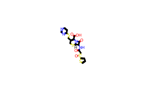 O=C(C[S+]([O-])c1cccs1)NC1C(=O)N2C(C(=O)O)=C(CSc3ccncn3)CS[C@@H]12